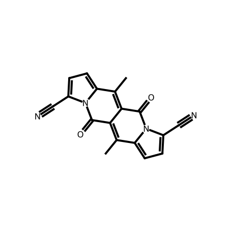 Cc1c2c(=O)n3c(C#N)ccc3c(C)c2c(=O)n2c(C#N)ccc12